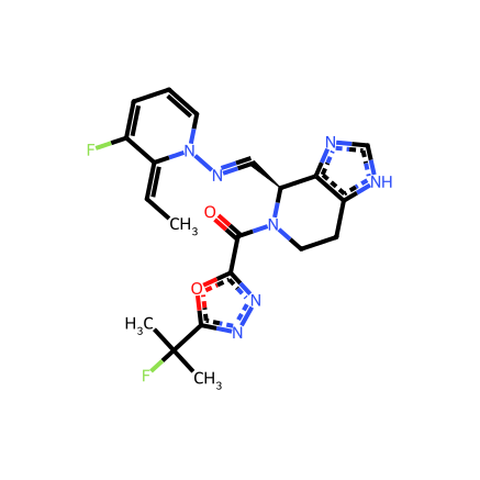 C/C=C1/C(F)=CC=CN1/N=C/[C@H]1c2nc[nH]c2CCN1C(=O)c1nnc(C(C)(C)F)o1